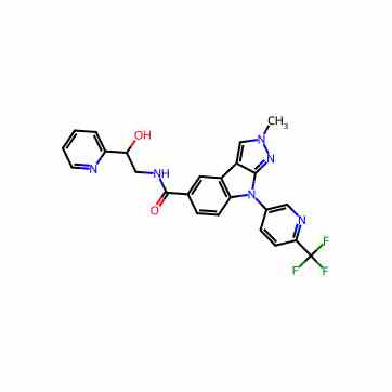 Cn1cc2c3cc(C(=O)NCC(O)c4ccccn4)ccc3n(-c3ccc(C(F)(F)F)nc3)c2n1